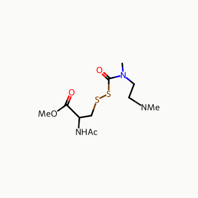 CNCCN(C)C(=O)SSCC(NC(C)=O)C(=O)OC